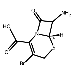 NC1C(=O)N2C(C(=O)O)=C(Br)CS[C@@H]12